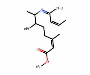 C/C=C\C(C=O)=N/C(C)C(CCC)CC/C(C)=C\C(=O)OC(C)(C)C